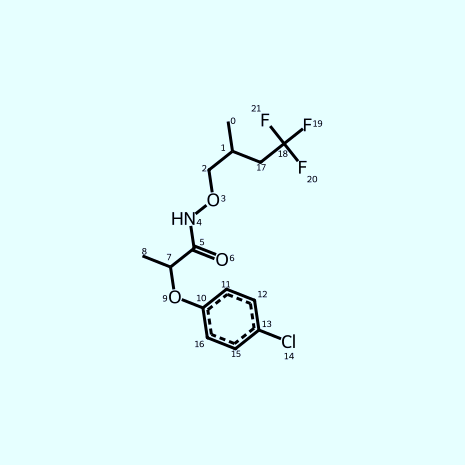 CC(CONC(=O)C(C)Oc1ccc(Cl)cc1)CC(F)(F)F